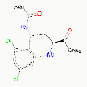 CCCCC(=O)N[C@@H]1C[C@@H](C(=O)OC)Nc2cc(Cl)cc(Cl)c21